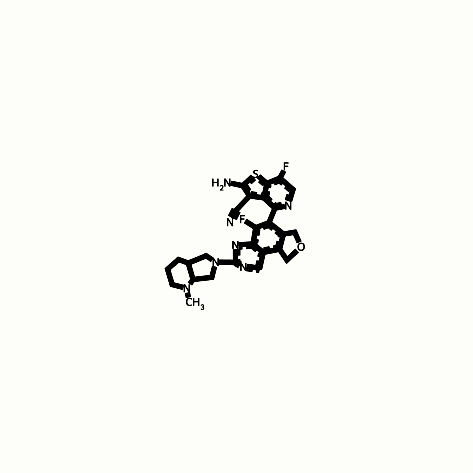 CN1CCCC2CN(c3ncc4c5c(c(-c6ncc(F)c7sc(N)c(C#N)c67)c(F)c4n3)COC5)CC21